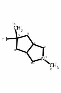 CN1CC2CC(C)(I)CC2C1